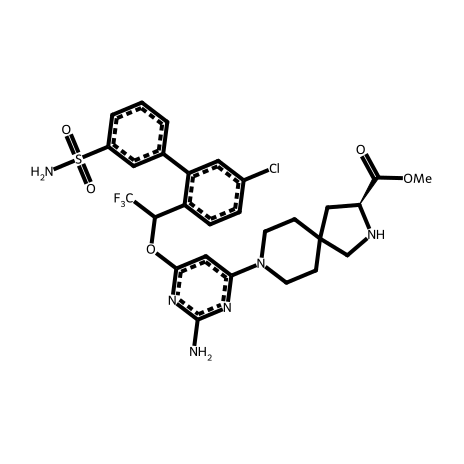 COC(=O)[C@@H]1CC2(CCN(c3cc(OC(c4ccc(Cl)cc4-c4cccc(S(N)(=O)=O)c4)C(F)(F)F)nc(N)n3)CC2)CN1